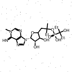 CCC(C)(CC1O[C@@H](n2cnc3c(=N)n(C)cnc32)[C@H](O)C1O)OP(=O)(O)C(O)(CC)CC